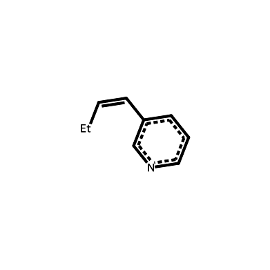 CC/C=C\c1cccnc1